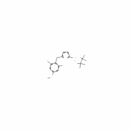 COc1cc(Cl)c(Cc2ccc(B3OC(C)(C)C(C)(C)O3)o2)c(Cl)c1